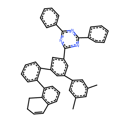 Cc1cc(C)cc(-c2cc(-c3nc(-c4ccccc4)nc(-c4ccccc4)n3)cc(-c3ccccc3-c3cccc4c3CCC=C4)c2)c1